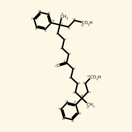 CC(CCCCC(=O)CCCCC(C)(CCC(=O)O)c1ccccc1)(CCC(=O)O)c1ccccc1